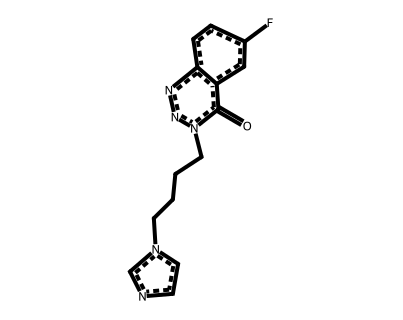 O=c1c2cc(F)ccc2nnn1CCCCn1ccnc1